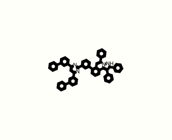 C1=C(c2ccccc2)N2NC(c3ccccc3)C(c3ccccc3)=C2c2cccc(-c3cccc(-c4nc(-c5cccc(-c6ccccc6)c5)cc(-c5cccc(-c6ccccc6)c5)n4)c3)c21